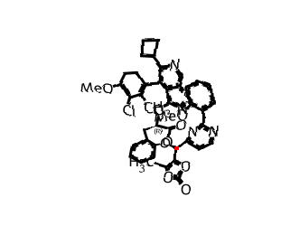 COC1=C(Cl)C(C)=C(c2c(C3CCC3)ncc3snc(O[C@H](Cc4ccccc4OCc4ccnc(-c5ccccc5OC)n4)C(=O)OCc4oc(=O)oc4C)c23)CC1